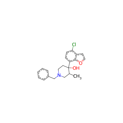 CC1CN(Cc2ccccc2)CCC1(O)c1ccc(Cl)c2ccoc12